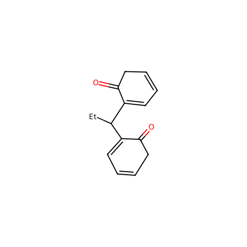 CCC(C1=CC=CCC1=O)C1=CC=CCC1=O